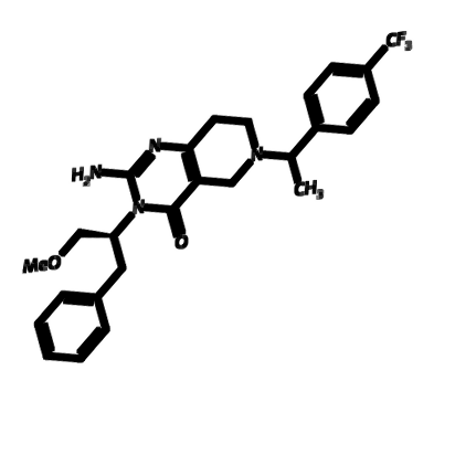 COC[C@H](Cc1ccccc1)n1c(N)nc2c(c1=O)CN(C(C)c1ccc(C(F)(F)F)cc1)CC2